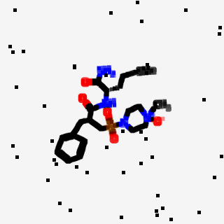 CSCC[C@H](NC(=O)C(Cc1ccccc1)CS(=O)(=O)N1CC[N+](C)([O-])CC1)C(N)=O